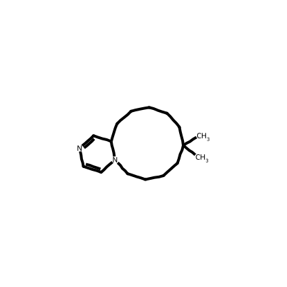 CC1(C)CCCCCC2C=NC=CN2CCCC1